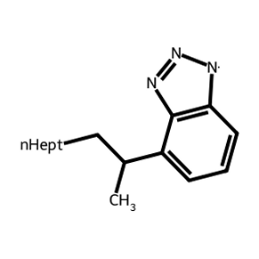 CCCCCCCCC(C)c1cccc2c1N=N[N]2